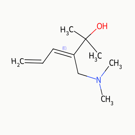 C=C/C=C(\CN(C)C)C(C)(C)O